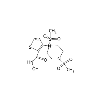 CS(=O)(=O)N1CC[N+](c2ncsc2C(=O)NO)(S(C)(=O)=O)CC1